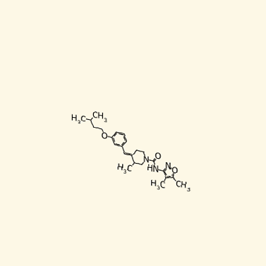 Cc1onc(NC(=O)N2CCC(=Cc3cccc(OCCC(C)C)c3)C(C)C2)c1C